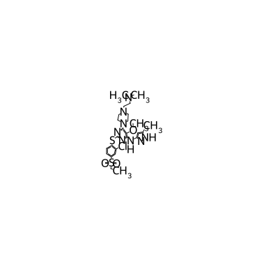 CCS(=O)(=O)c1ccc(Sc2nc(Nc3cc(C)[nH]n3)c(OC)c(N3CCN(CCN(C)C)CC3)n2)c(Cl)c1